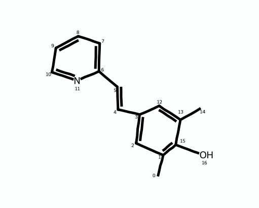 Cc1cc(/C=C/c2ccccn2)cc(C)c1O